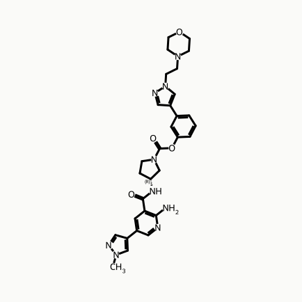 Cn1cc(-c2cnc(N)c(C(=O)N[C@@H]3CCN(C(=O)Oc4cccc(-c5cnn(CCN6CCOCC6)c5)c4)C3)c2)cn1